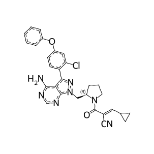 N#CC(=CC1CC1)C(=O)N1CCC[C@@H]1Cn1nc(-c2ccc(Oc3ccccc3)cc2Cl)c2c(N)ncnc21